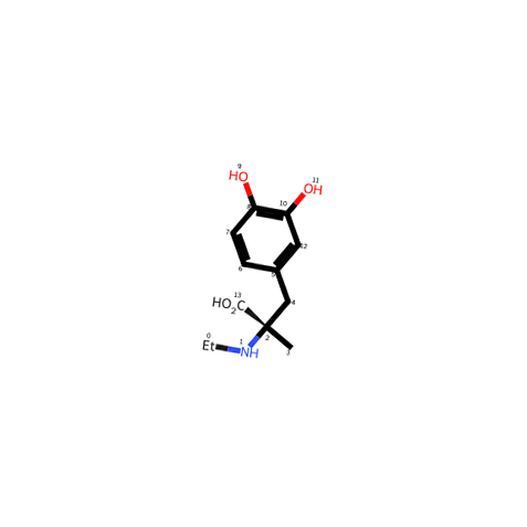 CCN[C@@](C)(Cc1ccc(O)c(O)c1)C(=O)O